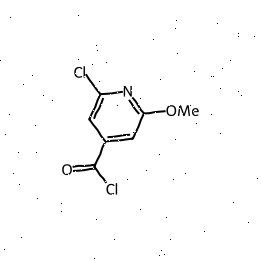 COc1cc(C(=O)Cl)cc(Cl)n1